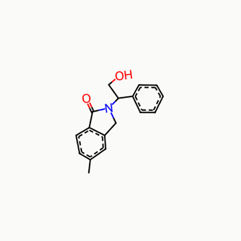 Cc1ccc2c(c1)CN(C(CO)c1ccccc1)C2=O